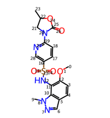 COc1ccc2cnn(C)c2c1NS(=O)(=O)c1ccc(N2CC(C)OC2=O)nc1